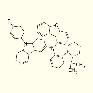 CC1(C)C2CCCC=C2C2=C(N(C3=CC4C5C=CCCC5N(C5C=CC(F)CC5)C4CC3)C3=CC=CC4OC5C=CC=CC5C34)C=CCC21